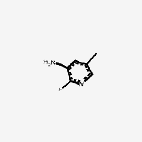 Cc1cnc(F)c(N)c1